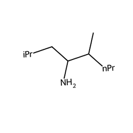 CCCC(C)C(N)CC(C)C